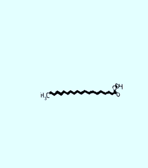 CCCCCCCCCCCCCCCCCCCC(=O)OO